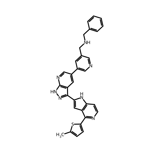 Cc1ccc(-c2nccc3[nH]c(-c4n[nH]c5ncc(-c6cncc(CNCc7ccccc7)c6)cc45)cc23)s1